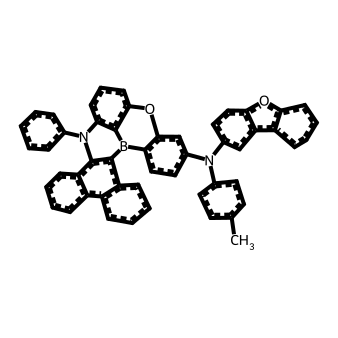 Cc1ccc(N(c2ccc3c(c2)Oc2cccc4c2B3c2c(c3ccccc3c3ccccc23)N4c2ccccc2)c2ccc3oc4ccccc4c3c2)cc1